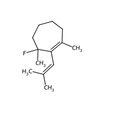 CC(C)=CC1=C(C)CCCCC1(C)F